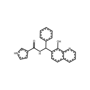 O=C(NC(c1ccccc1)c1ccc2cccnc2c1O)c1cc[nH]c1